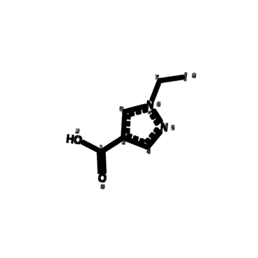 O=C(O)c1cnn(CI)c1